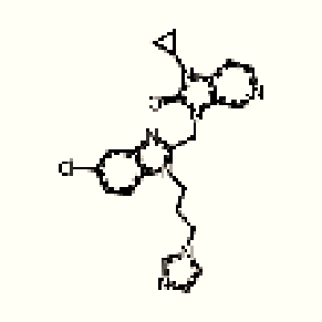 O=c1n(Cc2nc3cc(Cl)ccc3n2CCCn2ccnc2)c2cnccc2n1C1CC1